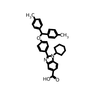 Cc1ccc(C(Oc2ccc(-c3nc4cc(C(=O)O)ccc4n3C3CCCCC3)cc2)c2ccc(C)cc2)cc1